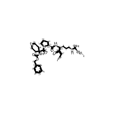 N=C(N)NCCC[C@H](NC(=O)[C@@H]1CCCN1C(=O)C1(NC(=O)OCc2ccccc2)CCOCC1)C(=O)CF